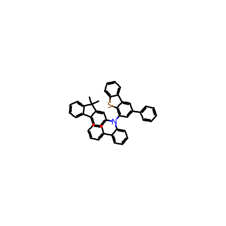 CC1(C)c2ccccc2-c2ccc(N(c3ccccc3-c3ccccc3)c3cc(-c4ccccc4)cc4c3sc3ccccc34)cc21